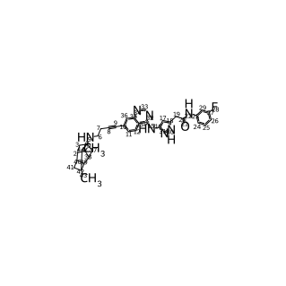 CC1C2CC3(NCCC#Cc4ccc5c(Nc6cc(CC(=O)Nc7cccc(F)c7)[nH]n6)ncnc5c4)CC1C1C2CC1(C)C3